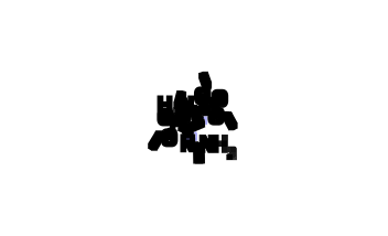 C=C(N)/N=C(\C=C(/N)P(=O)(OCC)OCC)P(=O)(OCC)OCC